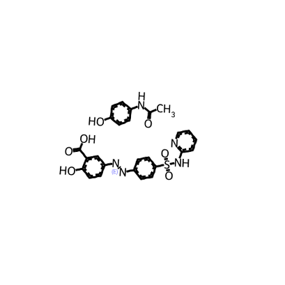 CC(=O)Nc1ccc(O)cc1.O=C(O)c1cc(/N=N/c2ccc(S(=O)(=O)Nc3ccccn3)cc2)ccc1O